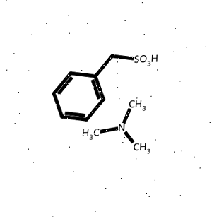 CN(C)C.O=S(=O)(O)Cc1ccccc1